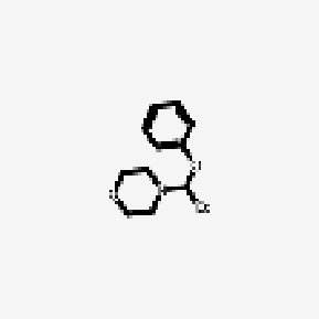 CCC(Oc1[c]cccc1)N1CCOCC1